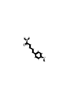 CSc1ccc(C=CC=CC(=O)N(C)C)cc1